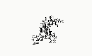 CC(=O)OC[C@@H](C)[C@H]1CC[C@H]2[C@@H]3CC=C4C[C@@H](OC5CCCCO5)C[C@H](OC5CCCCO5)[C@]4(C)[C@H]3CC[C@]12C